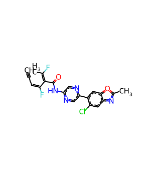 C#C/C=C(F)\C(C(=O)Nc1cnc(-c2cc3oc(C)nc3cc2Cl)cn1)=C(/C)F